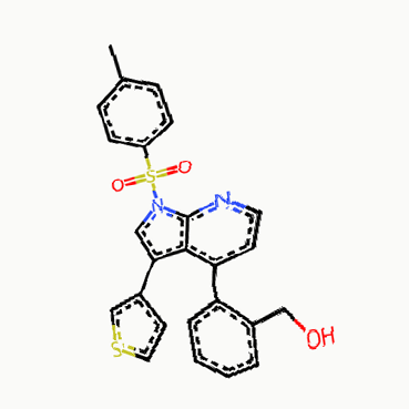 Cc1ccc(S(=O)(=O)n2cc(-c3ccsc3)c3c(-c4ccccc4CO)ccnc32)cc1